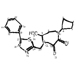 CC1CN(C2CCC2)C(=O)C(=O)N1Cc1nnc(-c2ccccc2)s1